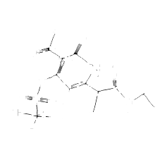 CCOC(=O)C(C)c1cc(OS(=O)(=O)C(F)(F)F)c(C(C)=O)c(=O)[nH]1